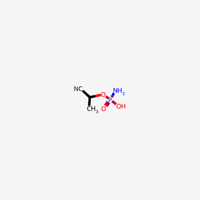 CC(C#N)OP(N)(=O)O